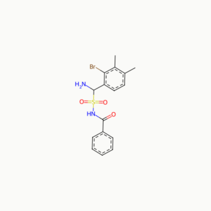 Cc1ccc(C(N)S(=O)(=O)NC(=O)c2ccccc2)c(Br)c1C